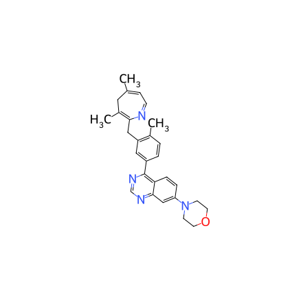 CC1=CC=NC(Cc2cc(-c3ncnc4cc(N5CCOCC5)ccc34)ccc2C)=C(C)C1